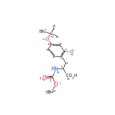 CC(C)(C)OC(=O)NC(Cc1ccc(O[Si](C)(C)C(C)(C)C)cc1Cl)C(=O)O